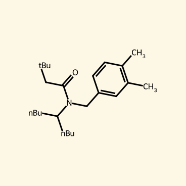 CCCCC(CCCC)N(Cc1ccc(C)c(C)c1)C(=O)CC(C)(C)C